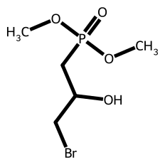 COP(=O)(CC(O)CBr)OC